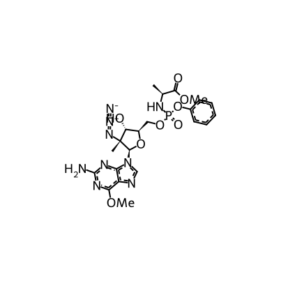 COC(=O)[C@H](C)NP(=O)(OC[C@H]1O[C@@H](n2cnc3c(OC)nc(N)nc32)[C@](C)(N=[N+]=[N-])[C@@H]1O)Oc1ccccc1